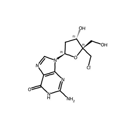 Nc1nc2c(ncn2[C@H]2C[C@H](O)[C@](CO)(CCl)O2)c(=O)[nH]1